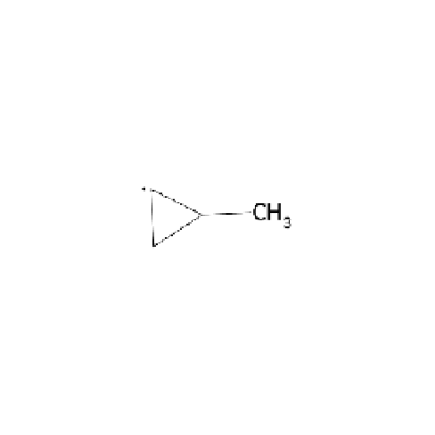 CC1[CH]C1